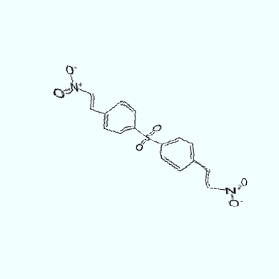 O=[N+]([O-])/C=C/c1ccc(S(=O)(=O)c2ccc(/C=C/[N+](=O)[O-])cc2)cc1